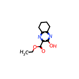 CCOC(=O)c1nc2c(nc1O)CCCC2